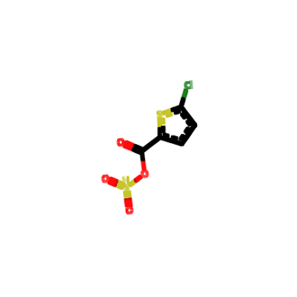 O=C(O[SH](=O)=O)c1ccc(Cl)s1